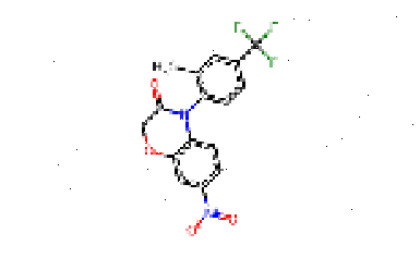 Cc1cc(C(F)(F)F)ccc1N1C(=O)COc2cc([N+](=O)[O-])ccc21